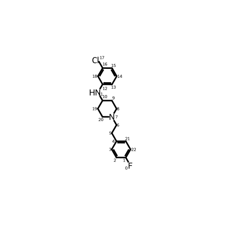 Fc1ccc(CCN2CCC(Nc3cccc(Cl)c3)CC2)cc1